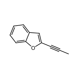 CC#Cc1cc2ccccc2o1